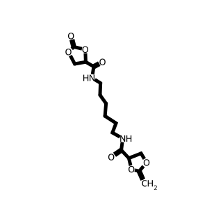 C=C1OCC(C(=O)NCCCCCCNC(=O)C2COC(=O)O2)O1